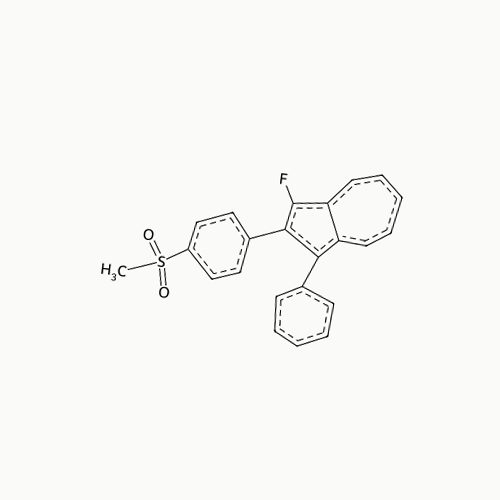 CS(=O)(=O)c1ccc(-c2c(F)c3cccccc-3c2-c2ccccc2)cc1